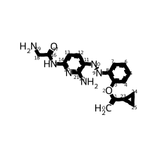 C=C(Oc1ccccc1/N=N/c1ccc(NC(=O)CN)nc1N)C1CC1